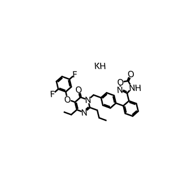 CCCc1nc(CC)c(Oc2cc(F)ccc2F)c(=O)n1Cc1ccc(-c2ccccc2-c2noc(=O)[nH]2)cc1.[KH]